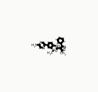 COc1cc(-c2cnc(N)cn2)ccc1NC(=O)c1c(-c2ccccc2)noc1C